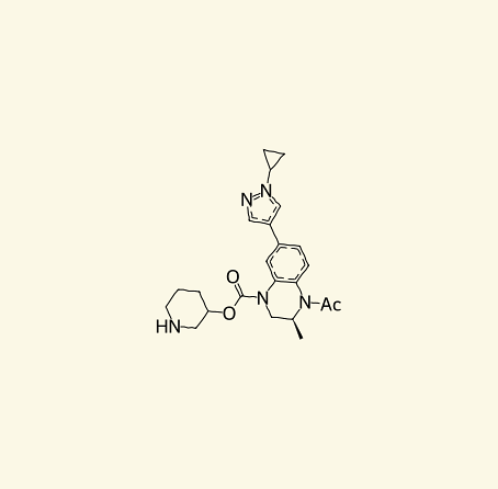 CC(=O)N1c2ccc(-c3cnn(C4CC4)c3)cc2N(C(=O)OC2CCCNC2)C[C@@H]1C